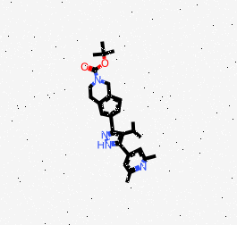 Cc1cc(-c2[nH]nc(-c3ccc4c(c3)CCN(C(=O)OC(C)(C)C)C4)c2C(C)C)cc(C)n1